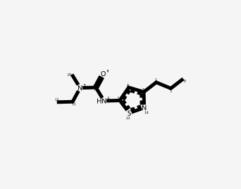 CCCc1cc(NC(=O)N(C)CC)sn1